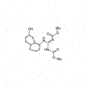 CC(C)(C)OC(=O)/N=C(/NC(=O)OC(C)(C)C)Nc1cccc2ccc(O)cc12